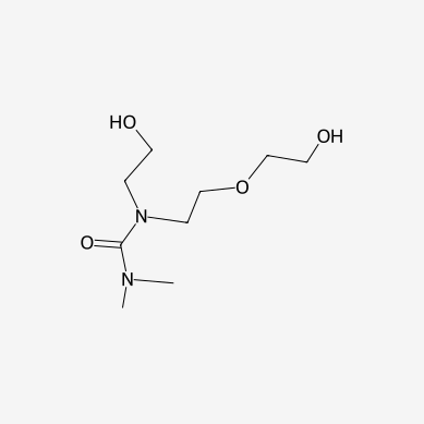 CN(C)C(=O)N(CCO)CCOCCO